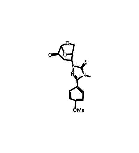 COc1ccc(-c2nn(C3CC(=O)C4OCC3O4)c(=S)n2C)cc1